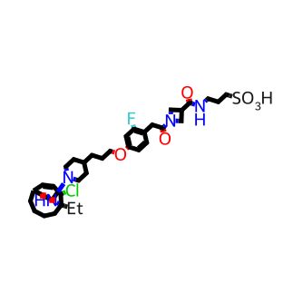 CCC12CCCCC(/C=C\C1Cl)CCC(N1CCC(CCCOc3ccc(CC(=O)N4CC(C(=O)NCCCS(=O)(=O)O)C4)c(F)c3)CC1)N2